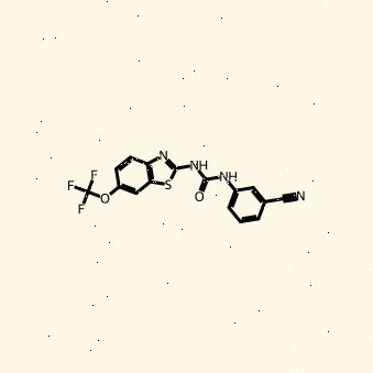 N#Cc1cccc(NC(=O)Nc2nc3ccc(OC(F)(F)F)cc3s2)c1